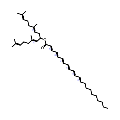 CCCCCCCCC/C=C/C=C/C=C/C=C/C=C/C=C/C(=O)OC(/C=C(\C)CCC=C(C)C)C/C=C(\C)CCC=C(C)C